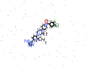 CC[C@H]1CN(c2ccc(-c3nnc[nH]3)nc2C)CCN1C1CCN(C(=O)c2ccc(Cl)c(F)c2)CC1